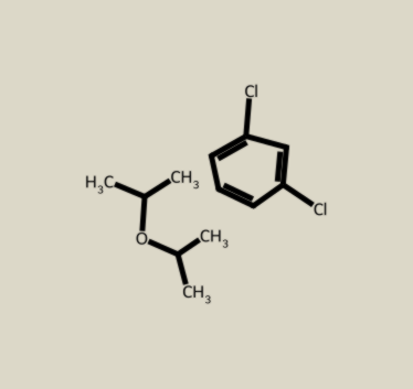 CC(C)OC(C)C.Clc1cccc(Cl)c1